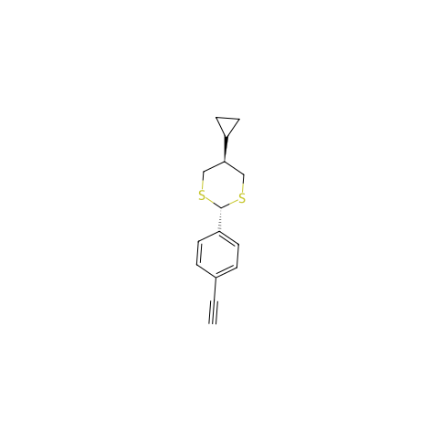 C#Cc1ccc([C@H]2SC[C@H](C3CC3)CS2)cc1